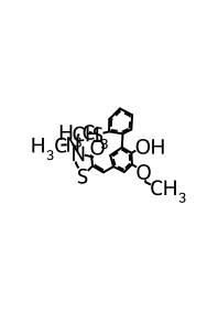 CCOc1cc(C=C2SCN(N(C)C)C2=O)cc(-c2ccccc2SC)c1O